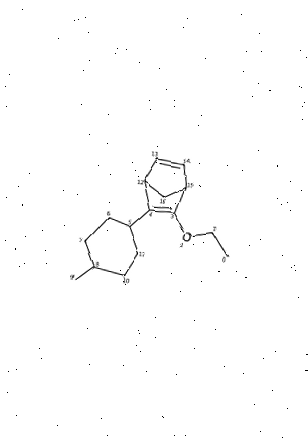 CCOC1=C(C2CCC(C)CC2)C2C=CC1C2